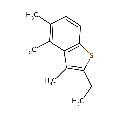 CCc1sc2ccc(C)c(C)c2c1C